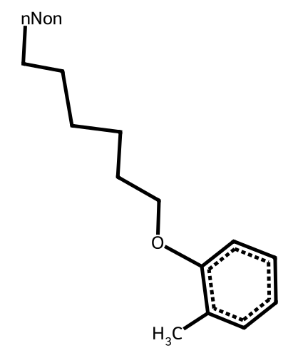 CCCCCCCCCCCCCCCOc1ccccc1C